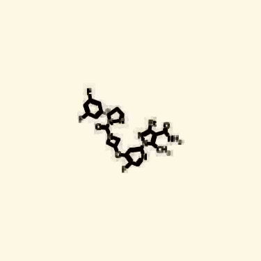 CCc1nn(-c2cc(OC3CN(C(=O)N4N=CC[C@H]4c4cc(F)cc(F)c4)C3)c(F)cn2)c(C)c1C(N)=O